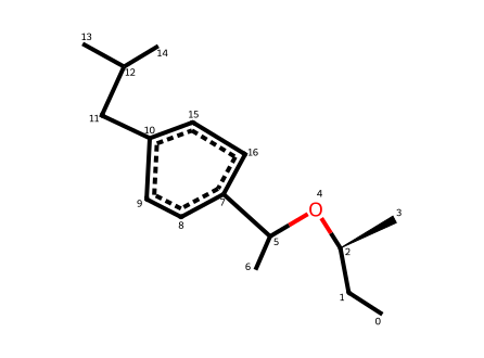 CC[C@H](C)OC(C)c1ccc(CC(C)C)cc1